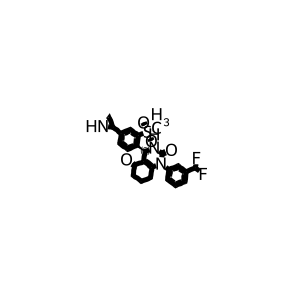 CS(=O)(=O)c1cc(C2CN2)ccc1[C@H]1NC(=O)N(c2cccc(C(F)F)c2)C2=C1C(=O)CCC2